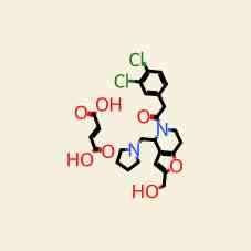 O=C(Cc1ccc(Cl)c(Cl)c1)N1CCc2oc(CO)cc2C1CN1CCCC1.O=C(O)/C=C/C(=O)O